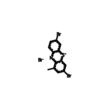 Cc1cc(Br)cc2[s+]c3cc(Br)ccc3nc12.[Br-]